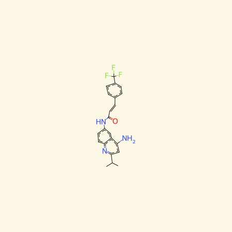 CC(C)c1cc(N)c2cc(NC(=O)C=Cc3ccc(C(F)(F)F)cc3)ccc2n1